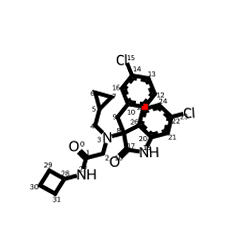 O=C(CN(CC1CC1)C1(Cc2cccc(Cl)c2)C(=O)Nc2cc(Cl)ccc21)NC1CCC1